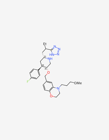 CCC(C[C@H]1C[C@H](c2ccc(F)cc2)[C@@H](OCc2ccc3c(c2)N(CCCOC)CCO3)CN1)c1nnn[nH]1